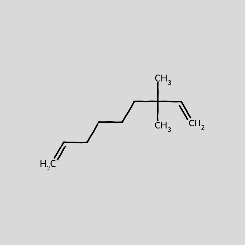 C=CCCCCC(C)(C)C=C